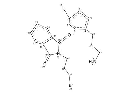 NCCCc1ccc(I)cc1.O=C1c2ccccc2C(=O)N1CCCBr